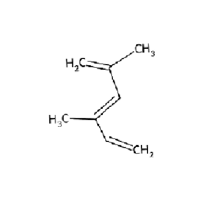 C=CC(C)=CC(=C)C